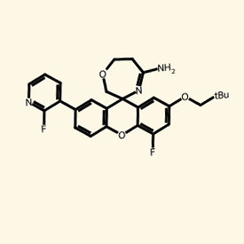 CC(C)(C)COc1cc(F)c2c(c1)C1(COCCC(N)=N1)c1cc(-c3cccnc3F)ccc1O2